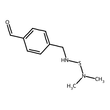 CN(C)SNCc1ccc(C=O)cc1